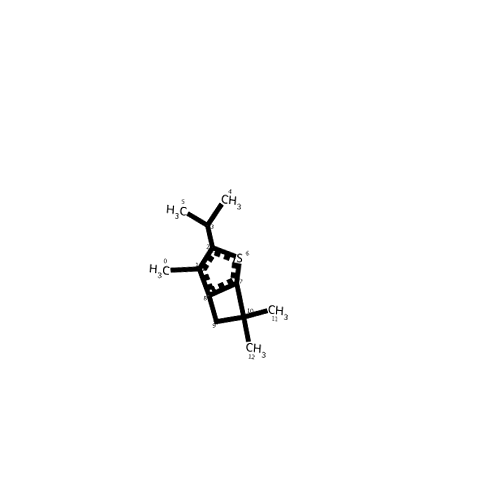 Cc1c(C(C)C)sc2c1CC2(C)C